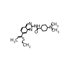 C=CS/C(=C\C)c1ccc2cnc(NC(=O)C3CCC(N(C)C)CC3)nc2c1